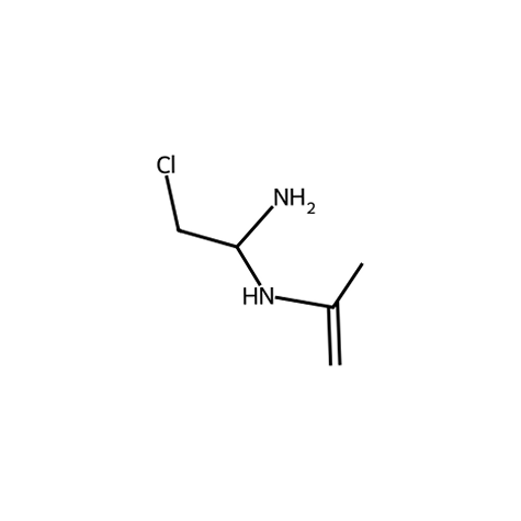 C=C(C)NC(N)CCl